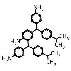 CC(C)c1ccc(C(c2ccc(N)cc2)c2ccc(N)c(C(c3ccc(N)cc3)c3ccc(C(C)C)cc3)c2)cc1